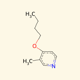 CCCCOc1ccncc1C